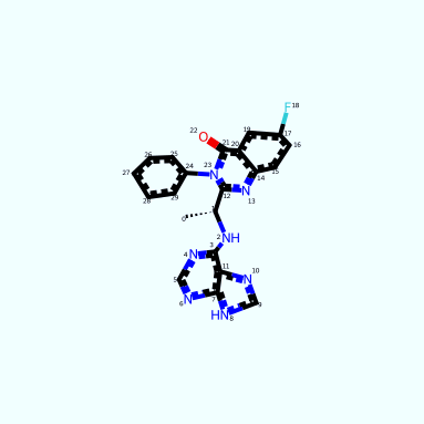 C[C@@H](Nc1ncnc2[nH]cnc12)c1nc2ccc(F)cc2c(=O)n1-c1ccccc1